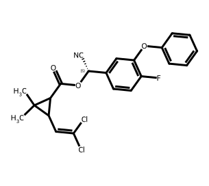 CC1(C)C(C=C(Cl)Cl)C1C(=O)O[C@H](C#N)c1ccc(F)c(Oc2ccccc2)c1